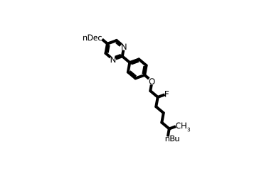 CCCCCCCCCCc1cnc(-c2ccc(OCC(F)CCCC(C)CCCC)cc2)nc1